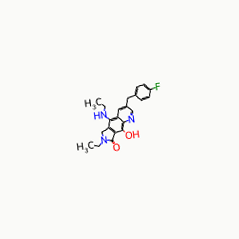 CCNc1c2c(c(O)c3ncc(Cc4ccc(F)cc4)cc13)C(=O)N(CC)C2